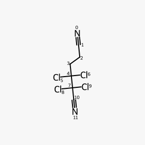 N#CCCC(Cl)(Cl)C(Cl)(Cl)C#N